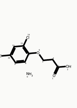 N.O=C(O)CCOc1ccc(Cl)cc1Cl